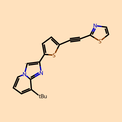 CC(C)(C)c1cccn2[c]c(-c3ccc(C#Cc4nccs4)s3)nc12